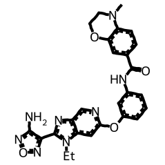 CCn1c(-c2nonc2N)nc2cnc(Oc3cccc(NC(=O)c4ccc5c(c4)OCCN5C)c3)cc21